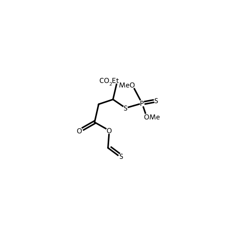 CCOC(=O)C(CC(=O)OC=S)SP(=S)(OC)OC